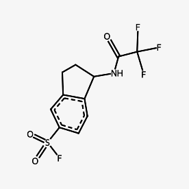 O=C(NC1CCc2cc(S(=O)(=O)F)ccc21)C(F)(F)F